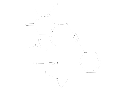 Cn1c(=O)c2c(nc(S(=O)(=O)CC3CC3)n2C)n(CC#Cc2ccccc2)c1=O